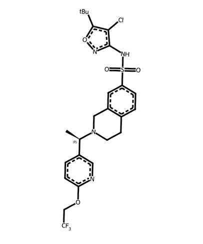 C[C@H](c1ccc(OCC(F)(F)F)nc1)N1CCc2ccc(S(=O)(=O)Nc3noc(C(C)(C)C)c3Cl)cc2C1